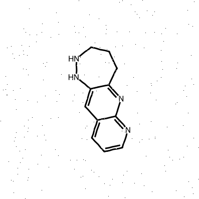 c1cnc2nc3c(cc2c1)NNCCC3